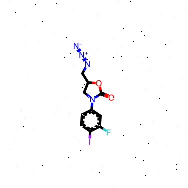 [N-]=[N+]=NCC1CN(c2ccc(I)c(F)c2)C(=O)O1